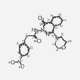 O=C(Cc1ccc([N+](=O)[O-])cc1)Nn1nc(N2CCOCC2)c2ccccc2c1=O